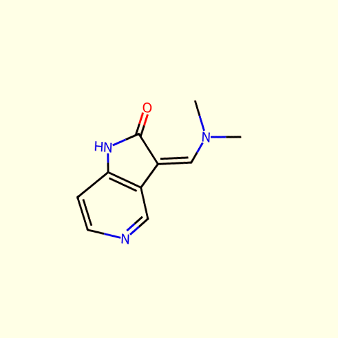 CN(C)C=C1C(=O)Nc2ccncc21